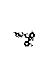 COc1ccccc1-c1[nH]c2ccc(F)cc2c1CC(=O)N(C)Cc1cc(C)no1